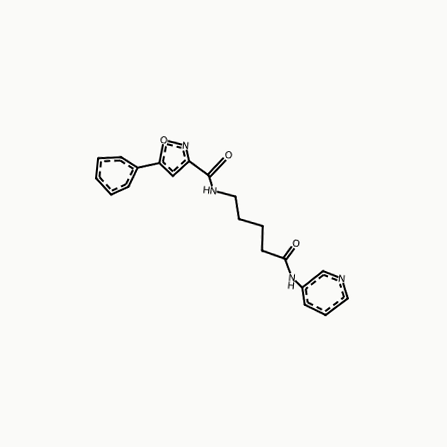 O=C(CCCCNC(=O)c1cc(-c2ccccc2)on1)Nc1cccnc1